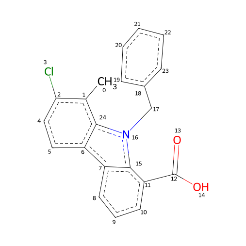 Cc1c(Cl)ccc2c3cccc(C(=O)O)c3n(Cc3ccccc3)c12